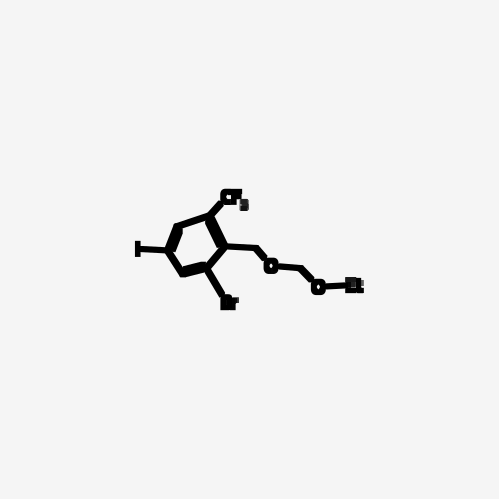 CCOCOCc1c(Br)cc(I)cc1C(F)(F)F